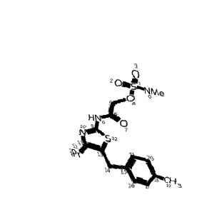 CNS(=O)(=O)OCC(=O)Nc1nc(C(C)C)c(Cc2ccc(C)cc2)s1